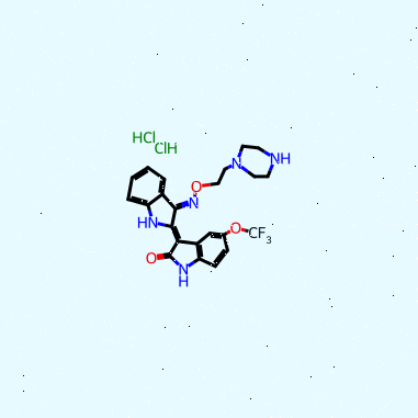 Cl.Cl.O=C1Nc2ccc(OC(F)(F)F)cc2/C1=C1/Nc2ccccc2/C1=N\OCCN1CCNCC1